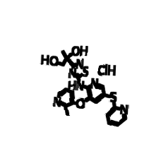 Cc1ncccc1Oc1cc(Sc2ccccn2)cnc1Nc1nc(C(C)(O)CO)ns1.Cl